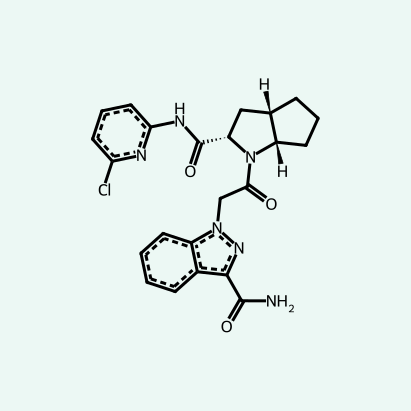 NC(=O)c1nn(CC(=O)N2[C@H](C(=O)Nc3cccc(Cl)n3)C[C@@H]3CCC[C@@H]32)c2ccccc12